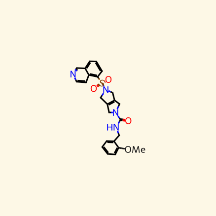 COc1ccccc1CNC(=O)N1CC2=C(C1)CN(S(=O)(=O)c1cccc3cnccc13)C2